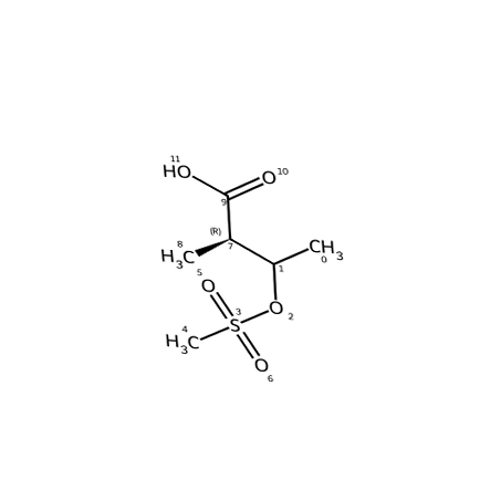 CC(OS(C)(=O)=O)[C@@H](C)C(=O)O